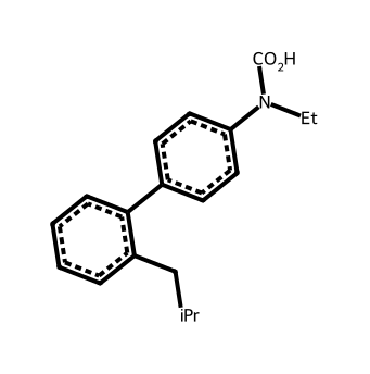 CCN(C(=O)O)c1ccc(-c2ccccc2CC(C)C)cc1